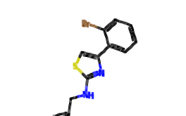 C=CCNc1nc(-c2ccccc2Br)cs1